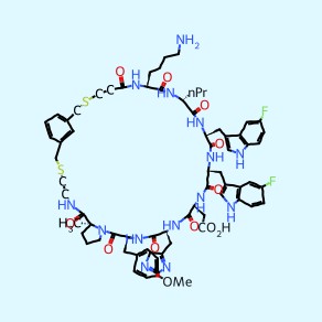 CCC[C@H]1NC(=O)[C@H](CCCCN)NC(=O)CCSCc2cccc(c2)CSCCNC(=O)[C@]2(C)CCCN2C(=O)[C@H](Cc2ccc(OC)cc2)NC(=O)[C@H](CC2=NC=NC2)NC(=O)[C@H](CC(=O)O)NC(=O)[C@H](Cc2c[nH]c3ccc(F)cc23)NC(=O)[C@H](Cc2c[nH]c3ccc(F)cc23)NC1=O